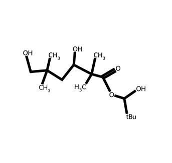 CC(C)(CO)CC(O)C(C)(C)C(=O)OC(O)C(C)(C)C